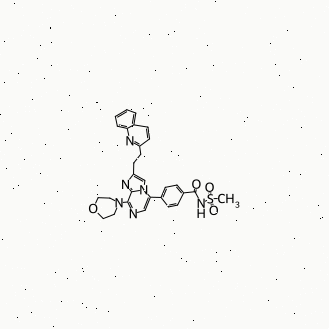 CS(=O)(=O)NC(=O)c1ccc(-c2cnc(N3CCOCC3)c3nc(CCc4ccc5ccccc5n4)cn23)cc1